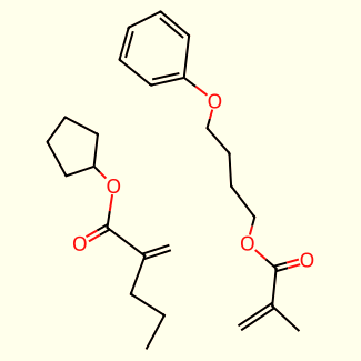 C=C(C)C(=O)OCCCCOc1ccccc1.C=C(CCC)C(=O)OC1CCCC1